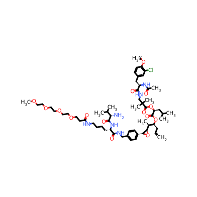 C=CC[C@H](OC(=O)[C@H](CC(C)C)OC(=O)C(C)(C)CNC(=O)[C@@H](Cc1ccc(OC)c(Cl)c1)NC(C)=O)[C@H](C)[C@H]1O[C@@H]1c1ccc(CNC(=O)[C@H](CCCCNC(=O)CCOCCOCCOCCOC)NC(=O)[C@@H](N)C(C)C)cc1